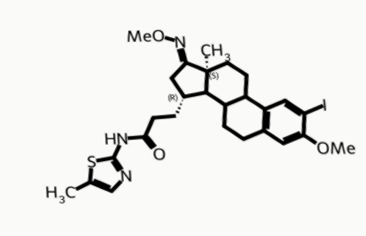 CON=C1C[C@@H](CCC(=O)Nc2ncc(C)s2)C2C3CCc4cc(OC)c(I)cc4C3CC[C@]12C